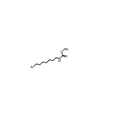 CC(=O)CCCCCCCNC(=O)OC(C)(C)C